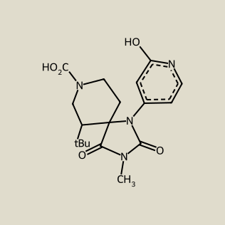 CN1C(=O)N(c2ccnc(O)c2)C2(CCN(C(=O)O)CC2C(C)(C)C)C1=O